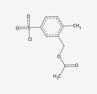 CC(=O)OCc1cc(S(=O)(=O)Cl)ccc1C